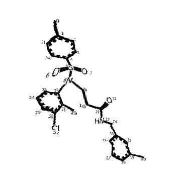 Cc1ccc(S(=O)(=O)N(CCC(=O)NCc2cccc(C)c2)c2cccc(Cl)c2C)cc1